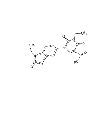 CCn1c(=O)c(C(=O)O)cn(-c2ccc3c(c2)oc(=O)n3CC)c1=O